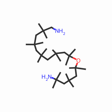 CC(C)(N)CC(C)(C)CC(C)(C)OC(C)(C)CC(C)(C)CC(C)(C)CC(C)(C)CC(C)(C)CN